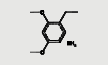 CCc1ccc(OC)cc1OC.N